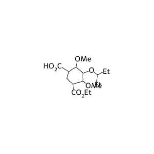 CCOC(=O)C1CC(C(=O)O)C(OC)C(OC(CC)CC)C1OC